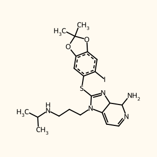 CC(C)NCCCN1C2=CC=NC(N)C2N=C1Sc1cc2c(cc1I)OC(C)(C)O2